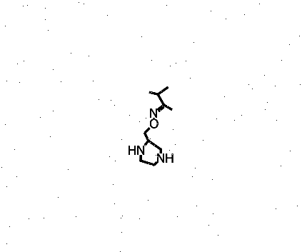 C/C(=N\OCC1CNCCN1)C(C)C